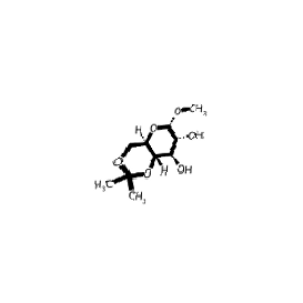 CO[C@H]1O[C@@H]2COC(C)(C)O[C@H]2[C@H](O)[C@H]1O